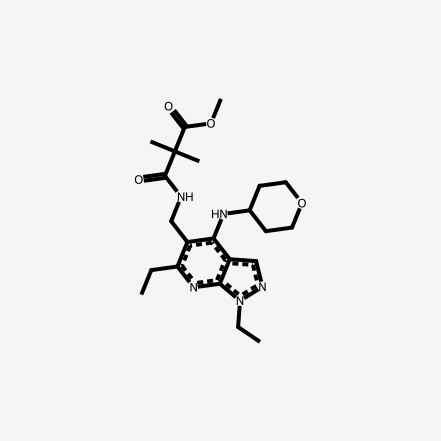 CCc1nc2c(cnn2CC)c(NC2CCOCC2)c1CNC(=O)C(C)(C)C(=O)OC